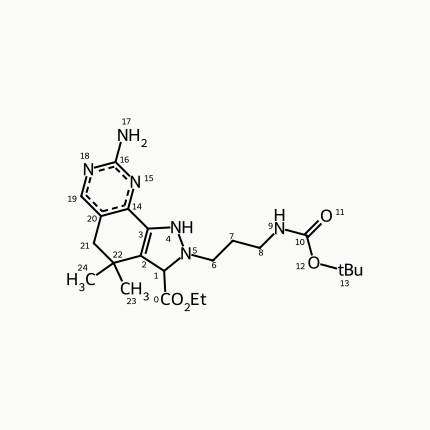 CCOC(=O)C1C2=C(NN1CCCNC(=O)OC(C)(C)C)c1nc(N)ncc1CC2(C)C